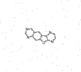 c1ncc2cc3c(cc2n1)oc1nccnc13